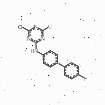 Fc1ccc(-c2ccc(Nc3nc(Cl)nc(Cl)n3)cc2)cc1